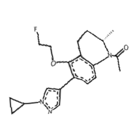 CC(=O)N1c2ccc(-c3cnn(C4CC4)c3)c(OCCF)c2CC[C@@H]1C